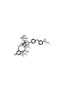 CNc1cccc(Cc2ccc([C@@H]3O[C@@H]4C[C@H]5CCCC6=CC(=O)C=C[C@]6(C)[C@H](C)[C@@H](O)C[C@]5(C)[C@]4(C(=O)COP(=O)(O)O)O3)cc2)c1